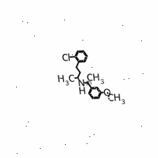 COc1cccc([C@@H](C)NC(C)CCc2ccccc2Cl)c1